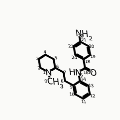 CN1CCCCC1CCc1ccccc1NC(=O)c1ccc(N)cc1